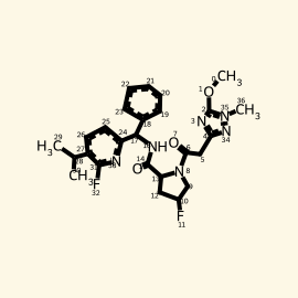 COc1nc(CC(=O)N2CC(F)CC2C(=O)NC(c2ccccc2)c2ccc(C(C)C)c(F)n2)nn1C